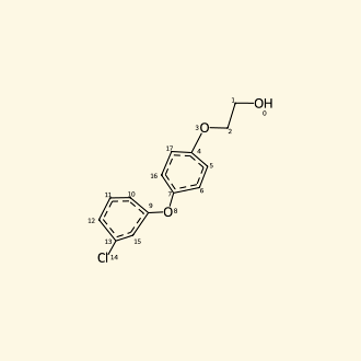 OCCOc1ccc(Oc2cccc(Cl)c2)cc1